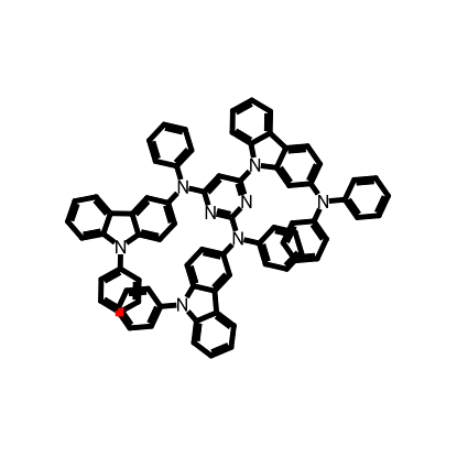 c1ccc(N(c2ccccc2)c2ccc3c4ccccc4n(-c4cc(N(c5ccccc5)c5ccc6c(c5)c5ccccc5n6-c5ccccc5)nc(N(c5ccccc5)c5ccc6c(c5)c5ccccc5n6-c5ccccc5)n4)c3c2)cc1